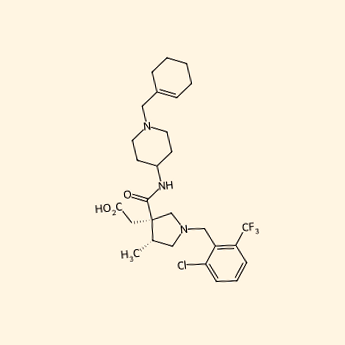 C[C@H]1CN(Cc2c(Cl)cccc2C(F)(F)F)C[C@]1(CC(=O)O)C(=O)NC1CCN(CC2=CCCCC2)CC1